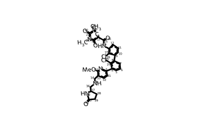 COc1nc(-c2cccc(-c3cccc(NC(=O)c4cn(C)c(=O)n(C)c4=O)c3Cl)c2Cl)ccc1CNCC1CCC(=O)N1